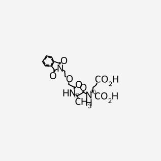 C[C@H](NC(=O)COCCN1C(=O)c2ccccc2C1=O)C(=O)N[C@H](CCC(=O)O)C(=O)O